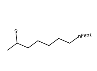 CCCCCCCCCCC(C)[S]